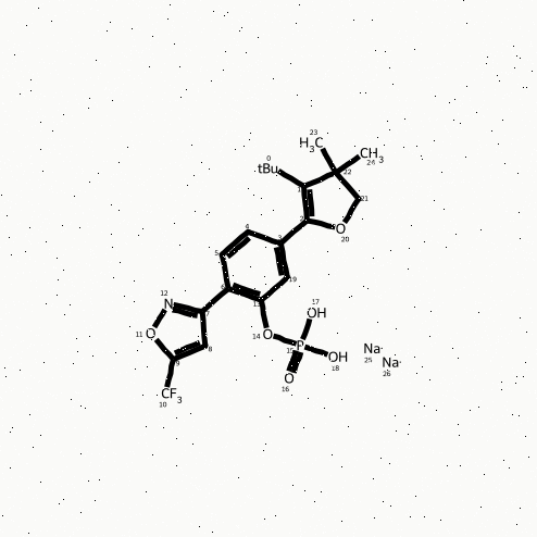 CC(C)(C)C1=C(c2ccc(-c3cc(C(F)(F)F)on3)c(OP(=O)(O)O)c2)OCC1(C)C.[Na].[Na]